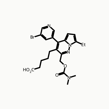 CCc1ccc2c(-c3cncc(Br)c3)c(CCCCC(=O)O)c(COC(=O)N(C)C)nn12